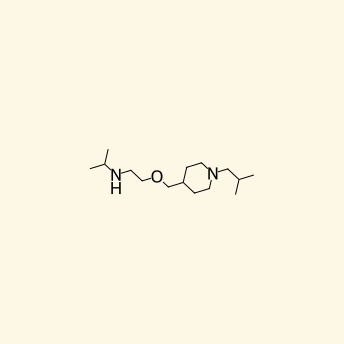 CC(C)CN1CCC(COCCNC(C)C)CC1